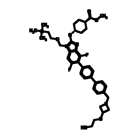 COC(=O)[C@H]1CC[C@H](Oc2nc3c(F)c(-c4ccc(-c5ccc(CN6CC(OCCO)C6)cc5)cc4)c(F)cc3n2COCC[Si](C)(C)C)CC1